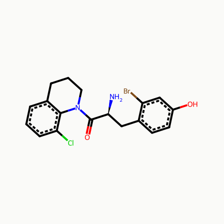 N[C@@H](Cc1ccc(O)cc1Br)C(=O)N1CCCc2cccc(Cl)c21